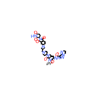 CC(C)Oc1nc2c(cc1NC(=O)c1cnn3cccnc13)CN(C1CCN(CC3CN(c4ccc5c(c4)C(=O)N(C4CCC(=O)NC4=O)C5=O)C3)CC1)C2=O